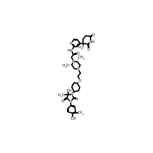 C[C@@H]1CN(CCO[C@H]2CC[C@H](N3C(=S)N(c4ccc(C#N)c(C(F)(F)F)c4)C(=O)C3(C)C)CC2)C[C@H](C)N1CC(=O)Nc1cc(C2(C)CCC(=O)NC2=O)ccn1